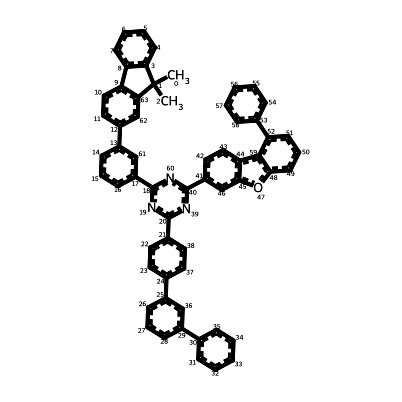 CC1(C)c2ccccc2-c2ccc(-c3cccc(-c4nc(-c5ccc(-c6cccc(-c7ccccc7)c6)cc5)nc(-c5ccc6c(c5)oc5cccc(-c7ccccc7)c56)n4)c3)cc21